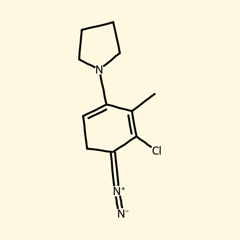 CC1=C(Cl)C(=[N+]=[N-])CC=C1N1CCCC1